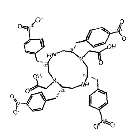 O=C(O)CN1C[C@H](Cc2ccc([N+](=O)[O-])cc2)NC[C@H](Cc2ccc([N+](=O)[O-])cc2)N(CC(=O)O)C[C@H](Cc2ccc([N+](=O)[O-])cc2)NC[C@@H]1Cc1ccc([N+](=O)[O-])cc1